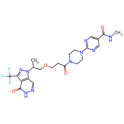 CNC(=O)c1cnc(N2CCN(C(=O)CCOCC(C)n3nc(C(F)(F)F)c4c(=O)[nH]ncc43)CC2)nc1